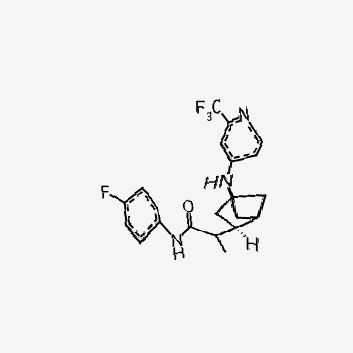 CC(C(=O)Nc1ccc(F)cc1)[C@H]1CC2(Nc3ccnc(C(F)(F)F)c3)CC1C2